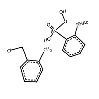 CC(=O)Nc1ccccc1[As](=O)(O)OO.Cc1ccccc1CCl